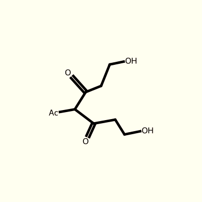 CC(=O)C(C(=O)CCO)C(=O)CCO